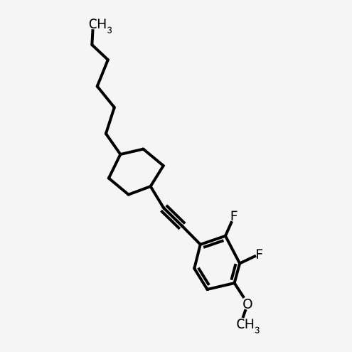 CCCCCCC1CCC(C#Cc2ccc(OC)c(F)c2F)CC1